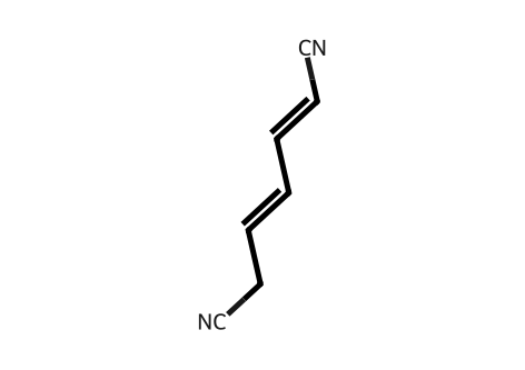 N#CC=CC=CCC#N